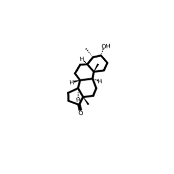 C[C@@H]1[C@H](O)CC[C@@]2(C)[C@H]1CC[C@@H]1[C@@H]2CC[C@]2(C)C(=O)CC[C@@H]12